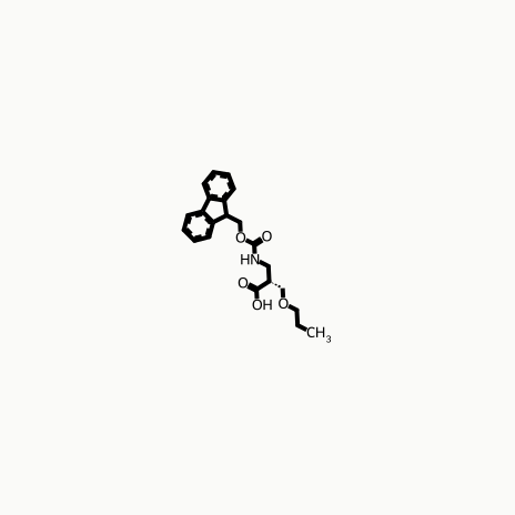 CCCOC[C@@H](CNC(=O)OCC1c2ccccc2-c2ccccc21)C(=O)O